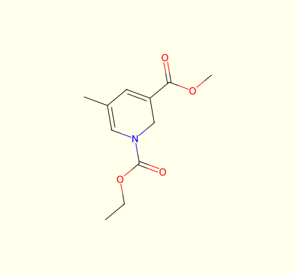 CCOC(=O)N1C=C(C)C=C(C(=O)OC)C1